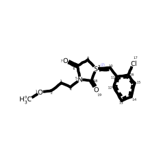 COCCCN1C(=O)C/S(=C/c2ccccc2Cl)C1=O